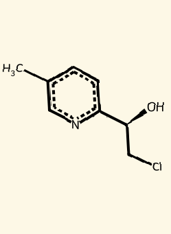 Cc1ccc([C@@H](O)CCl)nc1